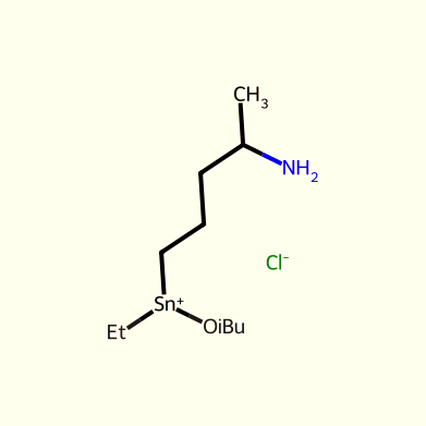 C[CH2][Sn+]([CH2]CCC(C)N)[O]CC(C)C.[Cl-]